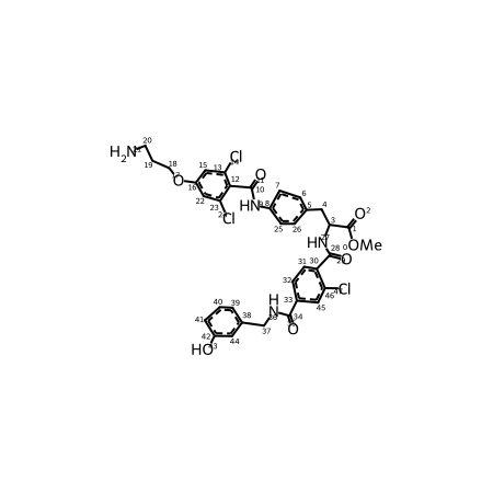 COC(=O)C(Cc1ccc(NC(=O)c2c(Cl)cc(OCCCN)cc2Cl)cc1)NC(=O)c1ccc(C(=O)NCc2cccc(O)c2)cc1Cl